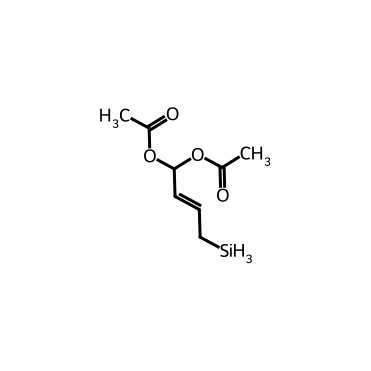 CC(=O)OC(C=CC[SiH3])OC(C)=O